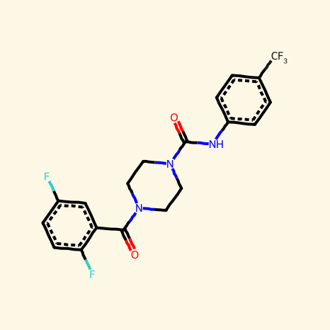 O=C(Nc1ccc(C(F)(F)F)cc1)N1CCN(C(=O)c2cc(F)ccc2F)CC1